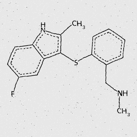 CNCc1ccccc1Sc1c(C)[nH]c2ccc(F)cc12